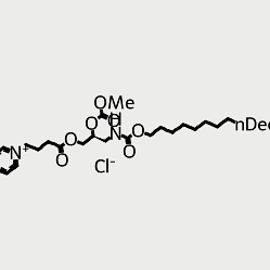 CCCCCCCCCCCCCCCCCCOC(=O)NC[C@@H](COC(=O)CCC[n+]1ccccc1)OC(=O)OC.[Cl-]